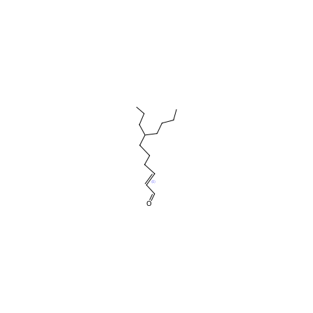 CCCCC(CCC)CCC/C=C/C=O